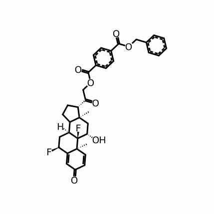 C[C@]12C[C@H](O)[C@@]3(F)[C@@H](C[C@H](F)C4=CC(=O)C=C[C@@]43C)C1CC[C@@H]2C(=O)COC(=O)c1ccc(C(=O)OCc2ccccc2)cc1